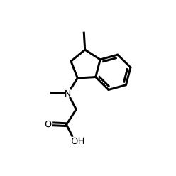 CC1CC(N(C)CC(=O)O)c2ccccc21